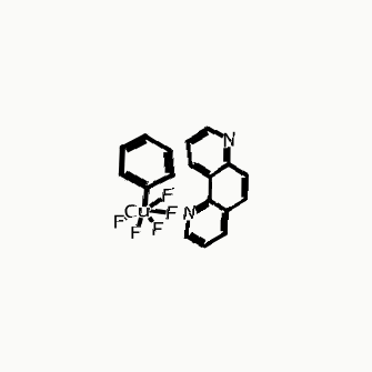 [F][Cu]([F])([F])([F])([F])[c]1ccccc1.c1cnc2c(c1)ccc1ncccc12